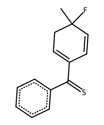 CC1(F)C=CC(C(=S)c2ccccc2)=CC1